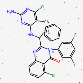 CC(Nc1nc(N)nc(Cl)c1C#N)C1=Nc2cccc(Cl)c2C(=O)[N@@+]1(c1ccccc1)c1cc(F)cc(F)c1